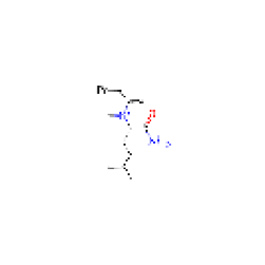 C=C(C)CC[C@@H](C(N)=O)[N+](=C)C(=C)CC(C)C